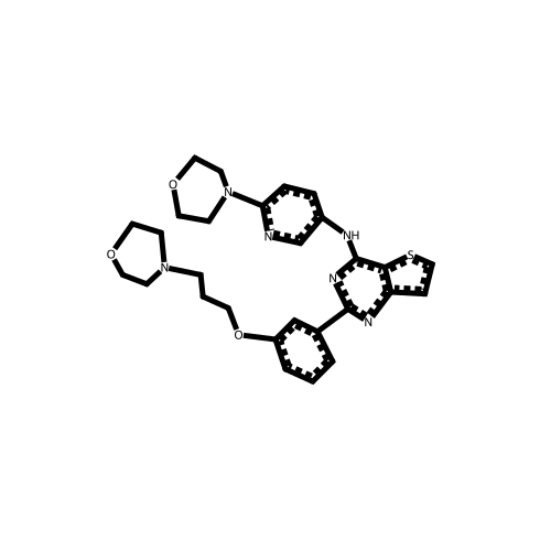 c1cc(OCCCN2CCOCC2)cc(-c2nc(Nc3ccc(N4CCOCC4)nc3)c3sccc3n2)c1